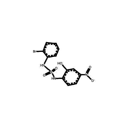 O=[N+]([O-])c1ccc(NS(=O)(=O)Nc2ccccc2Br)c(O)c1